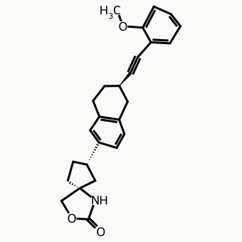 COc1ccccc1C#C[C@@H]1CCc2cc([C@H]3CC[C@]4(COC(=O)N4)C3)ccc2C1